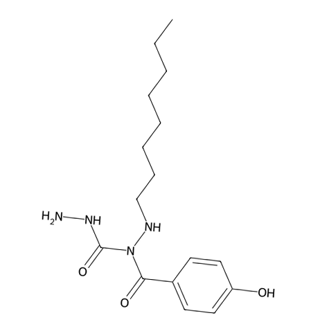 CCCCCCCCNN(C(=O)NN)C(=O)c1ccc(O)cc1